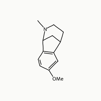 COc1ccc2c(c1)C1CCN(C)C2C1